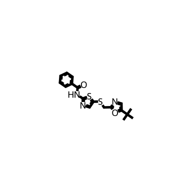 CC(C)(C)c1cnc(CSc2cnc(NC(=O)c3ccccc3)s2)o1